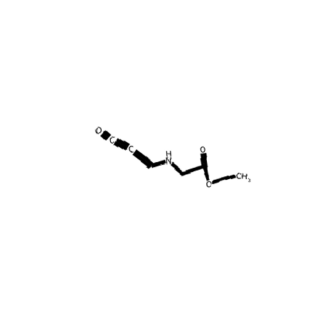 COC(=O)CNC=C=C=O